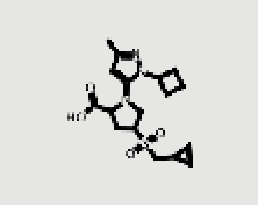 Cc1cc(N2CC(S(=O)(=O)CC3CC3)CC2C(=O)O)n(C2CCC2)n1